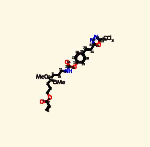 C=CC(=O)OCCC[Si](CCCNC(=O)Oc1ccc(C=Cc2nnc(C(Cl)(Cl)Cl)o2)cc1)(OC)OC